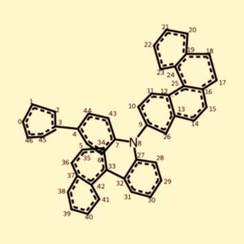 c1ccc(-c2ccc(N(c3ccc4c(ccc5ccc6ccccc6c54)c3)c3ccccc3-c3cccc4ccccc34)cc2)cc1